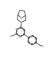 Nc1ccc(-c2cc(N3CC4CCC(C3)O4)nc(Cl)n2)cc1